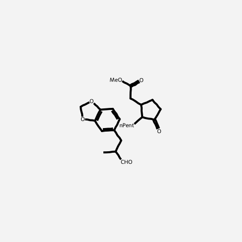 CC(C=O)Cc1ccc2c(c1)OCO2.CCCCCC1C(=O)CCC1CC(=O)OC